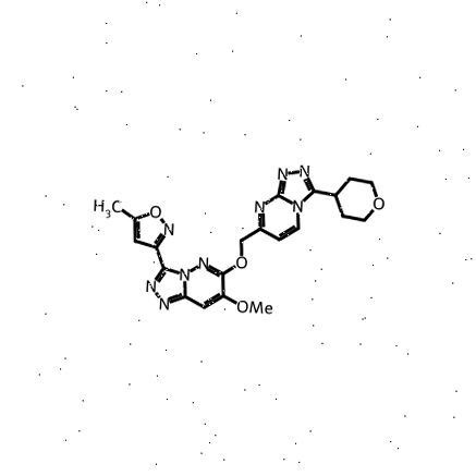 COc1cc2nnc(-c3cc(C)on3)n2nc1OCc1ccn2c(C3CCOCC3)nnc2n1